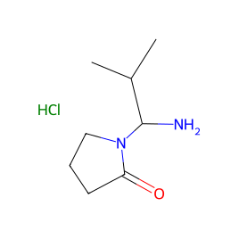 CC(C)C(N)N1CCCC1=O.Cl